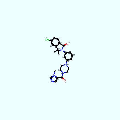 Cn1cncc1C(=O)N1CCN(c2cccc(N3C(=O)c4ccc(Cl)cc4C3(C)C)c2)CC1